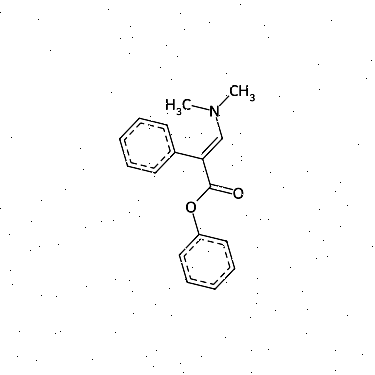 CN(C)/C=C(/C(=O)Oc1ccccc1)c1ccccc1